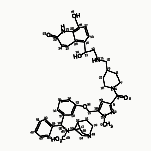 Cn1nc(C(=O)N2CCC(CNCC(O)c3ccc(O)c4[nH]c(=O)ccc34)CC2)cc1COc1cccc([C@H](c2ccccc2)N(C(=O)O)C2CN3CCC2CC3)c1